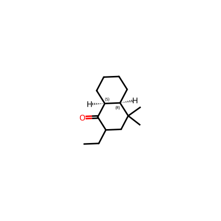 CCC1CC(C)(C)[C@@H]2CCCC[C@@H]2C1=O